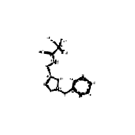 O=C(NC[C@@H]1CCN(Cc2ccccc2)C1)C(F)(F)F